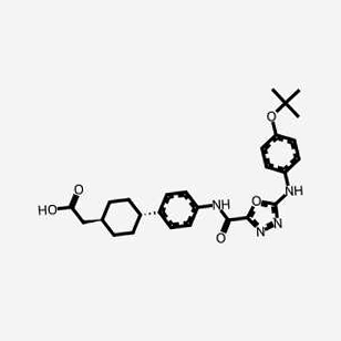 CC(C)(C)Oc1ccc(Nc2nnc(C(=O)Nc3ccc([C@H]4CC[C@H](CC(=O)O)CC4)cc3)o2)cc1